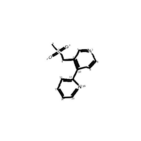 CS(=O)(=O)[CH]c1cnccc1-c1ccccn1